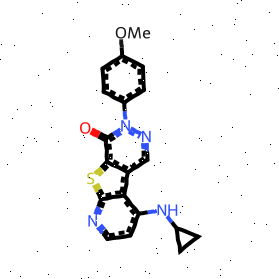 COc1ccc(-n2ncc3c(sc4nccc(NC5CC5)c43)c2=O)cc1